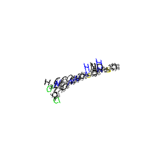 Cn1c(Cl)c(-c2ccc(Cl)cc2)c(-c2cccc(N3CCN(c4ccc(NSc5ccc(NCCSc6ccccc6)c([N+](=O)[O-])c5)cc4)CC3)c2)c1C(=O)O